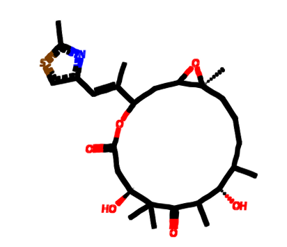 C/C(=C\c1csc(C)n1)C1CC2O[C@@]2(C)CCCC(C)[C@H](O)C(C)C(=O)C(C)(C)[C@@H](O)CC(=O)O1